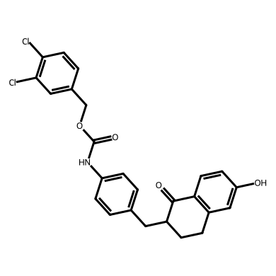 O=C(Nc1ccc(CC2CCc3cc(O)ccc3C2=O)cc1)OCc1ccc(Cl)c(Cl)c1